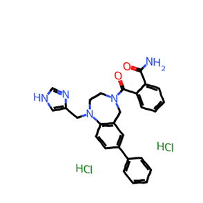 Cl.Cl.NC(=O)c1ccccc1C(=O)N1CCN(Cc2c[nH]cn2)c2ccc(-c3ccccc3)cc2C1